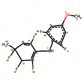 COc1cc(F)c(BC2=C(F)C(F)C(C)(F)C=C2F)c(F)c1